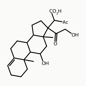 CC(=O)C(C(=O)O)C1(C(=O)CO)CCC2C3CCC4=CCCCC4(C)C3C(O)CC21C